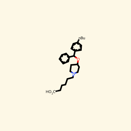 CCCCc1ccc(C(OC2CCN(CCCCCC(=O)O)CC2)c2ccccc2)cc1